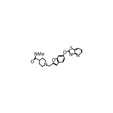 CNC(=O)C1CCN(Cc2cc3ccc(Oc4nc5ncccc5s4)cc3o2)CC1